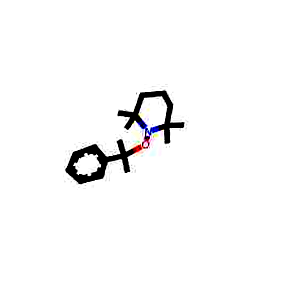 CC(C)(ON1C(C)(C)CCCC1(C)C)c1ccccc1